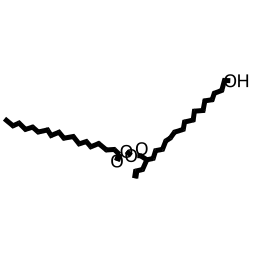 C=CCC(CCCCCCCCCCCCCCCCO)C(=O)OOC(=O)CCCCCCCCCCCCCCCCC